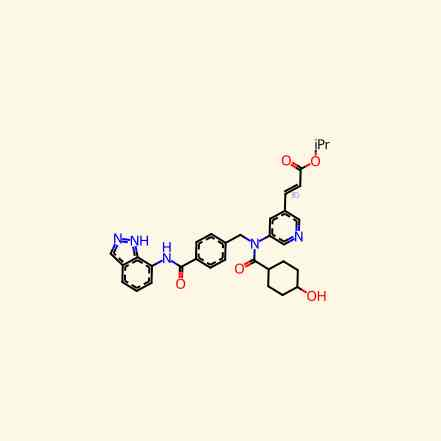 CC(C)OC(=O)/C=C/c1cncc(N(Cc2ccc(C(=O)Nc3cccc4cn[nH]c34)cc2)C(=O)C2CCC(O)CC2)c1